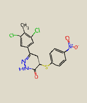 Cc1c(Cl)cc(C2=NNC(=O)C(Sc3ccc([N+](=O)[O-])cc3)C2)cc1Cl